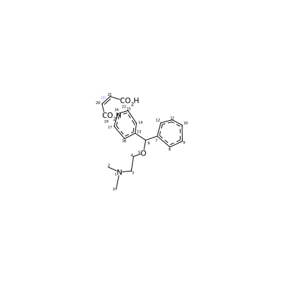 CN(C)CCOC(c1ccccc1)c1ccccc1.O=C(O)/C=C\C(=O)O